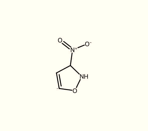 O=[N+]([O-])C1C=[C]ON1